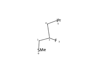 CSCC(F)CC(C)C